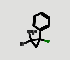 CCC1(C(=O)O)CC1(F)c1ccccc1